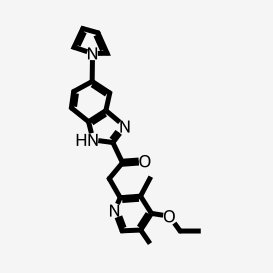 CCOc1c(C)cnc(CC(=O)c2nc3cc(-n4cccc4)ccc3[nH]2)c1C